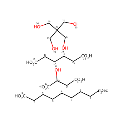 CCCCCCCCCCCCCCCCCC(=O)O.O=C(O)CC(O)C(=O)O.O=C(O)CCCCC(=O)O.OCC(CO)(CO)CO